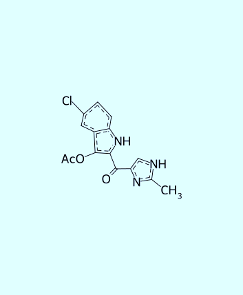 CC(=O)Oc1c(C(=O)c2c[nH]c(C)n2)[nH]c2ccc(Cl)cc12